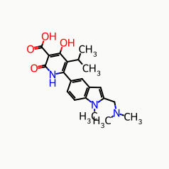 CC(C)c1c(-c2ccc3c(c2)cc(CN(C)C)n3C)[nH]c(=O)c(C(=O)O)c1O